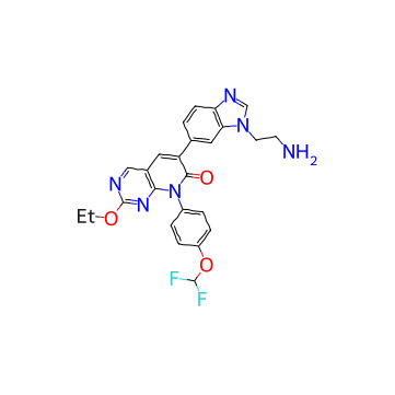 CCOc1ncc2cc(-c3ccc4ncn(CCN)c4c3)c(=O)n(-c3ccc(OC(F)F)cc3)c2n1